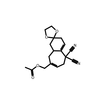 CC(=O)OCC1=CCC(C#N)(C#N)C2=CCC3(CC2C1)OCCO3